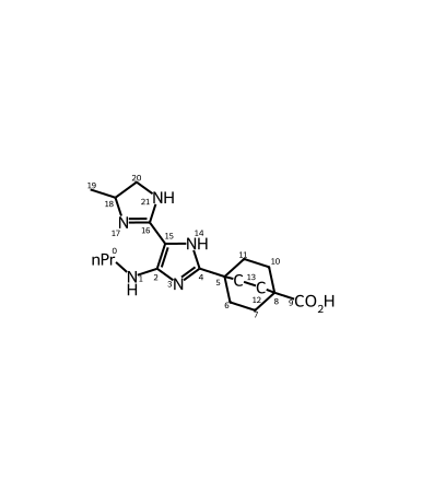 CCCNc1nc(C23CCC(C(=O)O)(CC2)CC3)[nH]c1C1=NC(C)CN1